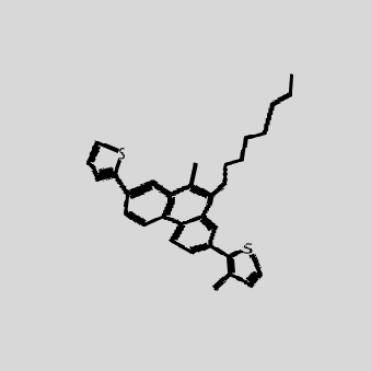 CCCCCCCCc1c(C)c2cc(-c3cccs3)ccc2c2ccc(-c3sccc3C)cc12